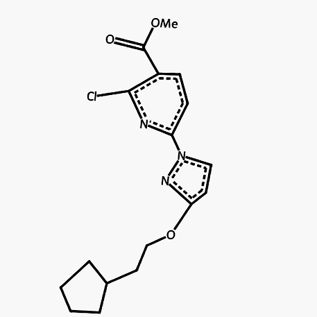 COC(=O)c1ccc(-n2ccc(OCCC3CCCC3)n2)nc1Cl